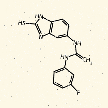 C=C(Nc1cccc(F)c1)Nc1ccc2[nH]c(S)nc2c1